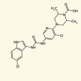 CC1CN(c2ncc(NC(=O)Nc3c[nH]c4ccc(Cl)cc34)cc2Cl)CC(C)N1C(=O)O